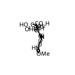 COc1ccc(NCCOCCOCc2cn(CCCC[C@H](NC(=O)N[C@@H](CCC(=O)O)C(=O)O)OC=O)nn2)cc1